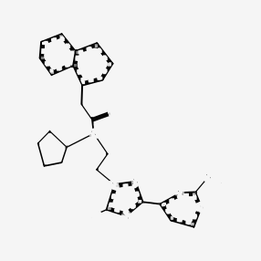 Cc1nc(-c2ccnc(N)n2)nn1CCN(C(=O)Cc1cccc2ccccc12)C1CCCC1